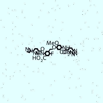 COc1cc(NC(=O)c2ccc3nnnn3n2)c(C(=O)O)cc1OCCc1cc(NC(=O)c2ccc(-n3ccnc3)nn2)c(C(=O)O)cc1F